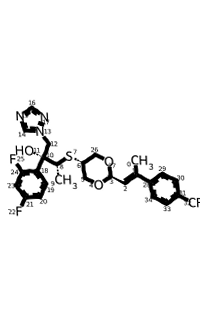 C/C(=C\[C@H]1OC[C@H](S[C@H](C)[C@](O)(Cn2cncn2)c2ccc(F)cc2F)CO1)c1ccc(C(F)(F)F)cc1